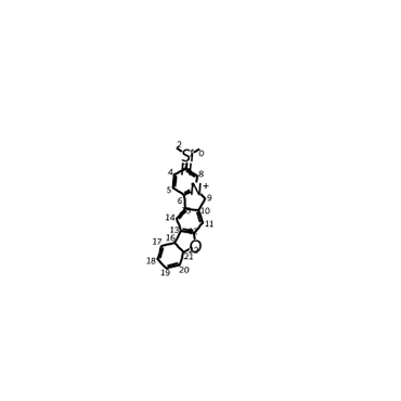 C[SiH](C)c1ccc2[n+](c1)Cc1cc3c(cc1-2)C1C=CC=CC1O3